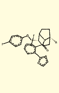 O=C(c1c(F)cccc1-n1nccn1)N1C2CC[C@H]1CC[C@@H]2COc1ccc(F)cc1